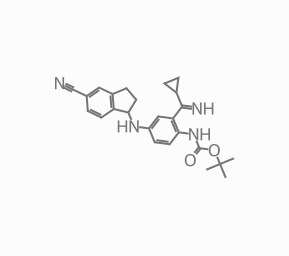 CC(C)(C)OC(=O)Nc1ccc(NC2CCc3cc(C#N)ccc32)cc1C(=N)C1CC1